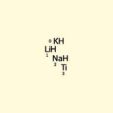 [KH].[LiH].[NaH].[Ti]